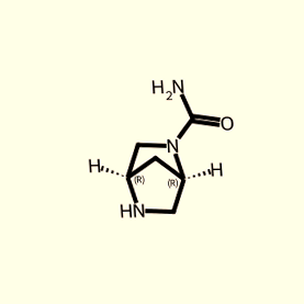 NC(=O)N1C[C@H]2C[C@@H]1CN2